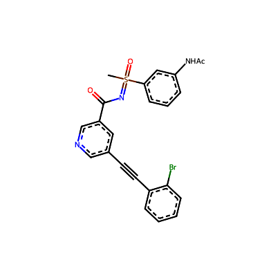 CC(=O)Nc1cccc(S(C)(=O)=NC(=O)c2cncc(C#Cc3ccccc3Br)c2)c1